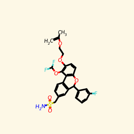 C=C(C)OCCOc1ccc2c(c1OC(F)F)-c1ccc(CS(N)(=O)=O)cc1C(c1cccc(F)c1)O2